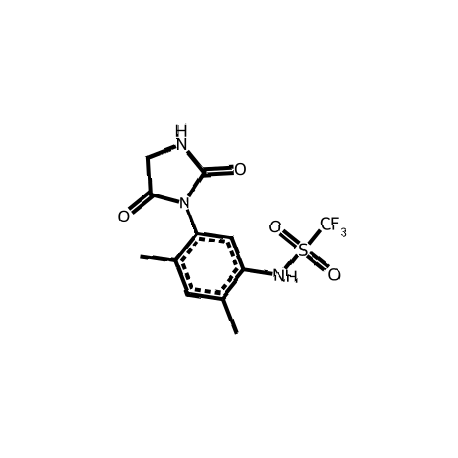 Cc1cc(C)c(N2C(=O)CNC2=O)cc1NS(=O)(=O)C(F)(F)F